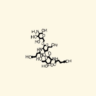 C#CCCC(=O)NC1C(O)[C@H](O)C(CO)O[C@H]1O[C@H]1C(CO)OC(OCC2O[C@@H](O)C(N)C(O)[C@@H]2O)[C@H](NC(=O)CCC#C)C1O